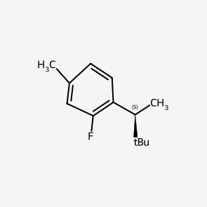 Cc1ccc([C@@H](C)C(C)(C)C)c(F)c1